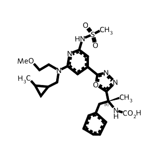 COCCN(CC1CC1C)c1cc(-c2nnc([C@@](C)(Cc3ccccc3)NC(=O)O)o2)cc(NS(C)(=O)=O)n1